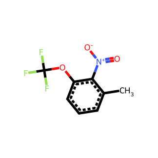 Cc1cccc(OC(F)(F)F)c1[N+](=O)[O-]